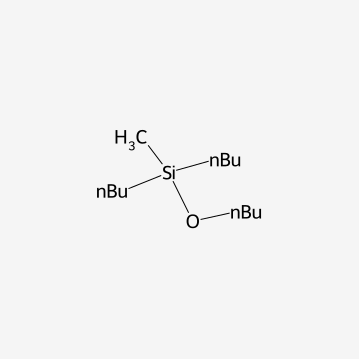 CCCCO[Si](C)(CCCC)CCCC